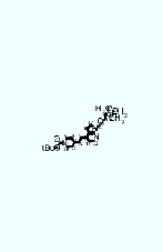 CC(C)(C)OC(=O)N1CCC(CCc2ccnc3c2ccn3COCC[Si](C)(C)C)CC1